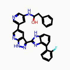 OC(Cc1ccccc1)Nc1cncc(-c2cnc3[nH]nc(-c4nc5c(-c6ccccc6F)cccc5[nH]4)c3c2)c1